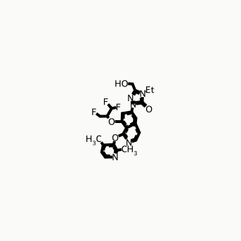 CCn1c(CO)nn(-c2cc(OC(CF)C(F)F)c3c(Oc4c(C)ccnc4C)nccc3c2)c1=O